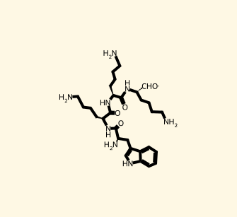 NCCCC[C@@H]([C]=O)NC(=O)[C@H](CCCCN)NC(=O)[C@H](CCCCN)NC(=O)[C@@H](N)Cc1c[nH]c2ccccc12